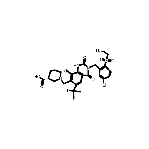 CCS(=O)(=O)c1ccc(Cl)cc1Cn1c(=O)[nH]c2c(Cl)c(CN3CCC[C@@H](C(=O)O)C3)c(C(F)(F)F)cc2c1=O